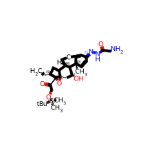 C=C[C@@H]1CC2[C@@H]3CCC4=C/C(=N/NC(=O)CN)C=C[C@]4(C)C3[C@@H](O)C[C@@]23O[C@]13C(=O)CO[Si](C)(C)C(C)(C)C